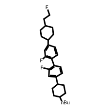 CCCCC1CCC(c2ccc(-c3ccc(C4CCC(CCF)CC4)cc3F)c(F)c2)CC1